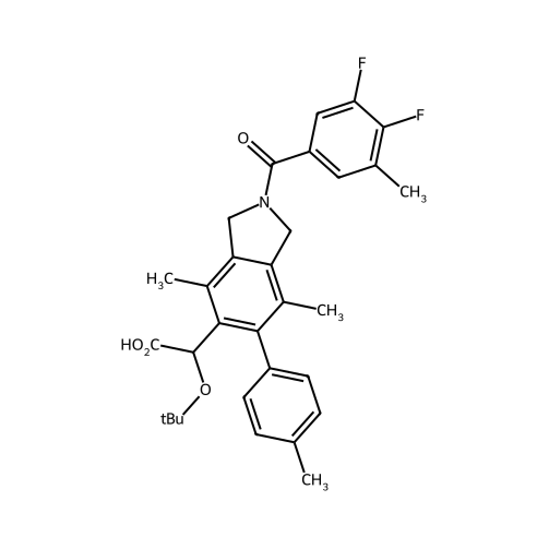 Cc1ccc(-c2c(C)c3c(c(C)c2C(OC(C)(C)C)C(=O)O)CN(C(=O)c2cc(C)c(F)c(F)c2)C3)cc1